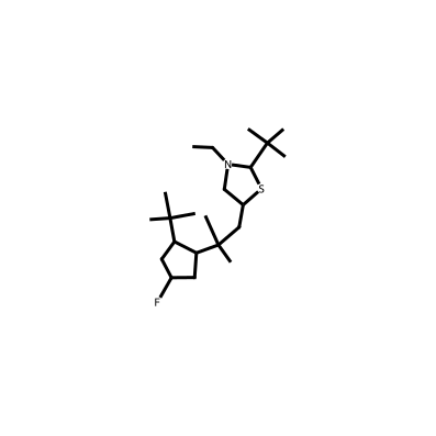 CCN1CC(CC(C)(C)C2CC(F)CC2C(C)(C)C)SC1C(C)(C)C